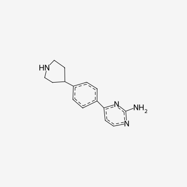 Nc1nccc(-c2ccc(C3CCNCC3)cc2)n1